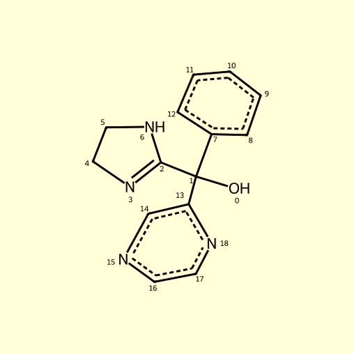 OC(C1=NCCN1)(c1ccccc1)c1cnccn1